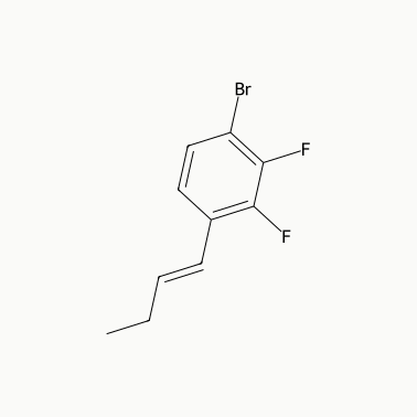 CCC=Cc1ccc(Br)c(F)c1F